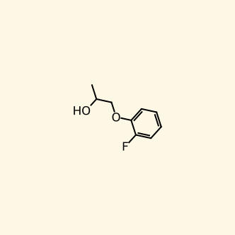 CC(O)COc1ccccc1F